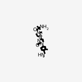 CNCc1ccc(-n2ccc(N3CCN(C(=O)C(C)(C)N)CC3)nc2=O)cc1C